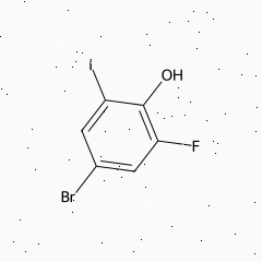 Oc1c(F)cc(Br)cc1I